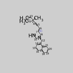 CCC(C)(C#C/C=C/CN(C=N)Cc1cccc2ccccc12)CC